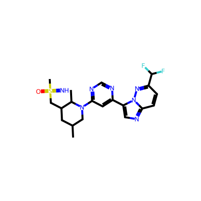 CC1CC(CS(C)(=N)=O)C(C)N(c2cc(-c3cnc4ccc(C(F)F)nn34)ncn2)C1